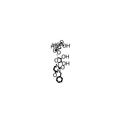 O=c1ccn([C@@H]2O[C@H](COP(=O)(O)CP(=O)(O)O)C(O)C2O)c(=O)n1Cc1ccccc1